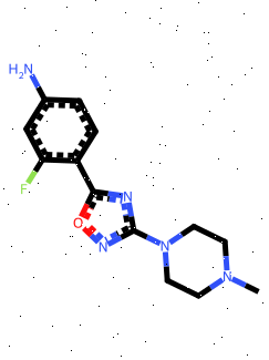 CN1CCN(c2noc(-c3ccc(N)cc3F)n2)CC1